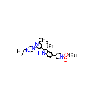 Cc1cc(-c2[nH]c3ccc(C4CCN(C(=O)OC(C)(C)C)CC4)cc3c2C(C)C)cc(N2CCN(C)CC2)n1